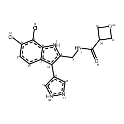 O=C(NCc1[nH]c2c(Cl)c(Cl)ccc2c1-c1cn[nH]c1)C1COC1